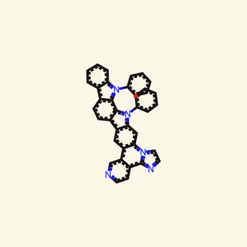 c1ccc(-n2c3ccccc3c3ccc4c5cc6c7cnccc7c7nccn7c6cc5n(-c5ccccc5)c4c32)cc1